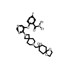 CCN(C(=O)c1cc(F)ccc1Oc1cncnc1N1CC2(CCN(CC3(O)CCC4(CC3)OCCO4)CC2)C1)C(C)C